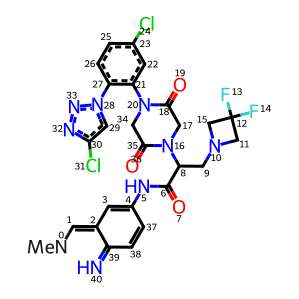 CN/C=C1/C=C(NC(=O)C(CN2CC(F)(F)C2)N2CC(=O)N(c3cc(Cl)ccc3-n3cc(Cl)nn3)CC2=O)C=CC1=N